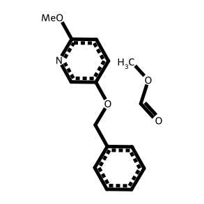 COC=O.COc1ccc(OCc2ccccc2)cn1